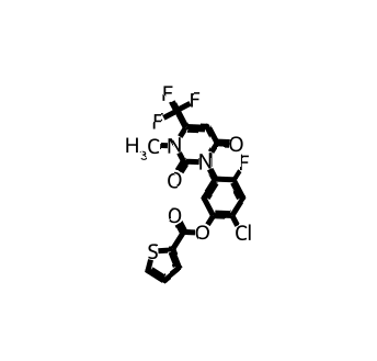 Cn1c(C(F)(F)F)cc(=O)n(-c2cc(OC(=O)c3cccs3)c(Cl)cc2F)c1=O